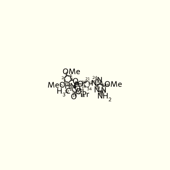 COc1cc(OC)cc(OP(=O)(N[C@@H](C)C(=O)OC(C)C)OC[C@@H]2C=C[C@H](n3cnc4c(OC)nc(N)nc43)C2)c1